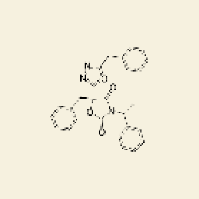 C[C@H](c1ccccc1)N1C(=O)O[C@](Cc2ccccc2)(c2nnc(Cc3ccccc3)o2)C1=O